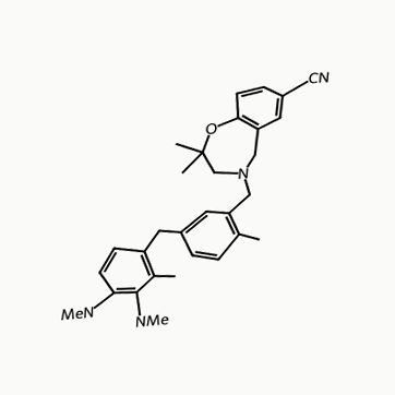 CNc1ccc(Cc2ccc(C)c(CN3Cc4cc(C#N)ccc4OC(C)(C)C3)c2)c(C)c1NC